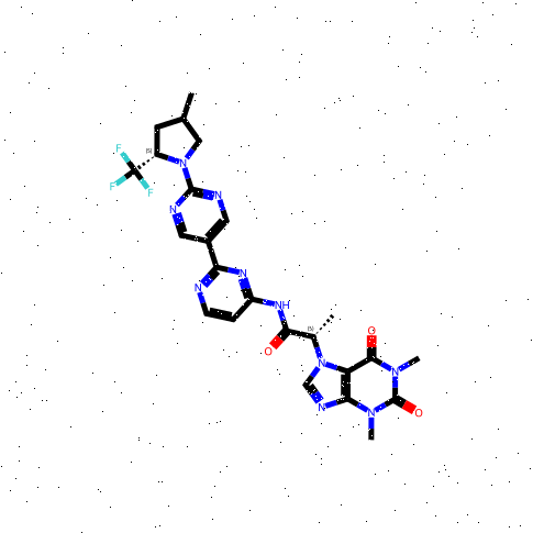 CC1C[C@@H](C(F)(F)F)N(c2ncc(-c3nccc(NC(=O)[C@H](C)n4cnc5c4c(=O)n(C)c(=O)n5C)n3)cn2)C1